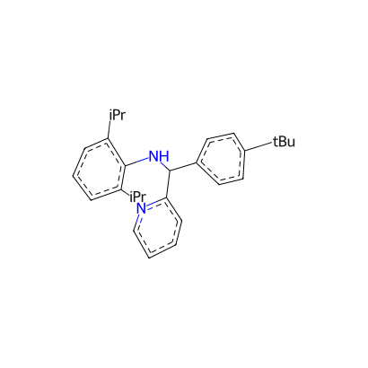 CC(C)c1cccc(C(C)C)c1NC(c1ccc(C(C)(C)C)cc1)c1ccccn1